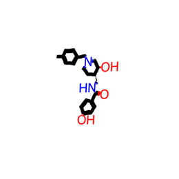 Cc1ccc(CN2CC[C@@H](CNC(=O)c3ccc(O)cc3)[C@H](O)C2)cc1